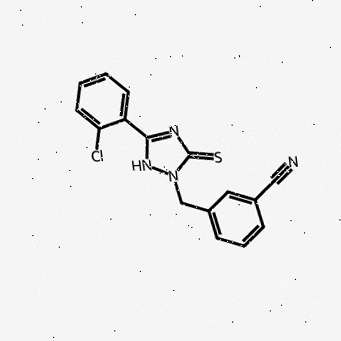 N#Cc1cccc(Cn2[nH]c(-c3ccccc3Cl)nc2=S)c1